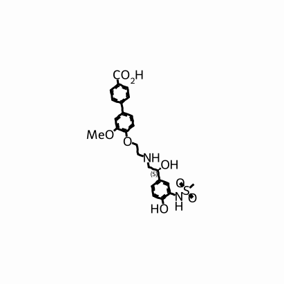 COc1cc(-c2ccc(C(=O)O)cc2)ccc1OCCNC[C@@H](O)c1ccc(O)c(NS(C)(=O)=O)c1